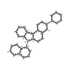 c1ccc(-c2ccc3c(ccc4c3c3ccccc3n4-c3cccc4ccccc34)c2)cc1